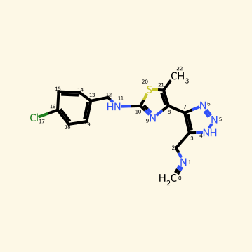 C=NCc1[nH]nnc1-c1nc(NCc2ccc(Cl)cc2)sc1C